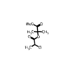 CC(C)COC(=O)C(C)(C)OC(=O)C(C)Cl